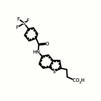 O=C(O)CCc1cc2cc(NC(=O)c3ccc(S(F)(F)F)cc3)ccc2s1